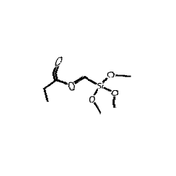 CCC(=O)OC[Si](OC)(OC)OC